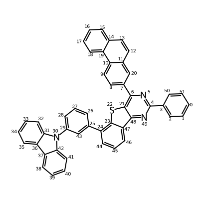 c1ccc(-c2nc(-c3ccc4c(ccc5ccccc54)c3)c3sc4c(-c5cccc(-n6c7ccccc7c7ccccc76)c5)cccc4c3n2)cc1